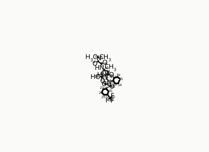 CN(C)C(=O)C(=O)NC(C)(C)CC1(NC(=O)O)CN(S(=O)(=O)c2cccc(C(F)(F)F)c2)c2ccccc2O1